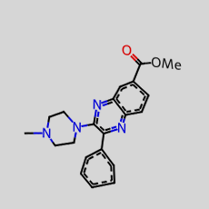 COC(=O)c1ccc2nc(-c3ccccc3)c(N3CCN(C)CC3)nc2c1